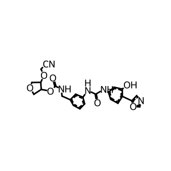 N#CCOC1COCC1OC(=O)NCc1cccc(NC(=O)Nc2ccc(-c3cnco3)c(O)c2)c1